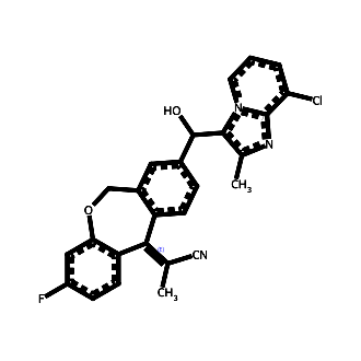 C/C(C#N)=C1/c2ccc(C(O)c3c(C)nc4c(Cl)cccn34)cc2COc2cc(F)ccc21